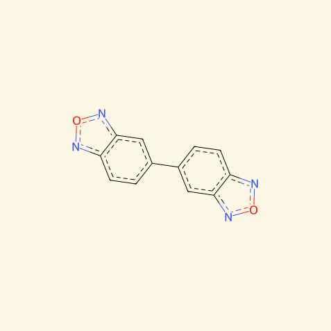 c1cc2nonc2cc1-c1ccc2nonc2c1